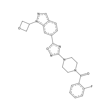 O=C(c1ccccc1F)N1CCN(c2noc(-c3ccc4cnn(C5COC5)c4c3)n2)CC1